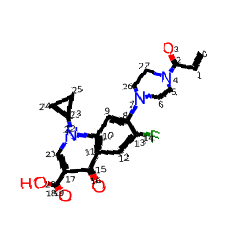 C=CC(=O)N1CCN(c2cc3c(cc2F)c(=O)c(C(=O)O)cn3C2CC2)CC1